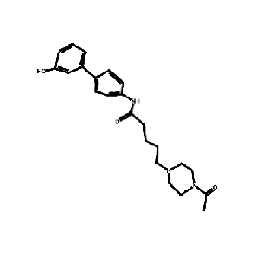 CC(=O)N1CCN(CCCCC(=O)Nc2ccc(-c3cccc(O)c3)cc2)CC1